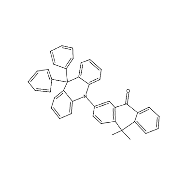 CC1(C)c2ccccc2C(=O)c2cc(N3c4ccccc4C(c4ccccc4)(c4ccccc4)c4ccccc43)ccc21